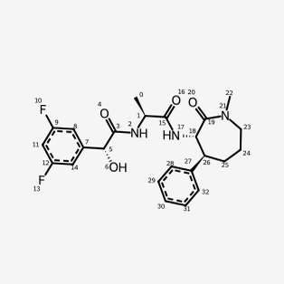 C[C@H](NC(=O)[C@H](O)c1cc(F)cc(F)c1)C(=O)N[C@@H]1C(=O)N(C)CCC[C@H]1c1ccccc1